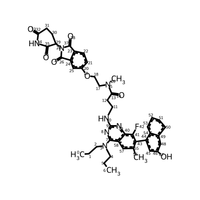 CCCN(CCC)c1nc(NCCC(=O)N(C)CCOc2ccc3c(c2)C(=O)N(C2CCC(=O)NC2=O)C3=O)nc2c(F)c(-c3cc(O)cc4ccccc34)c(C)cc12